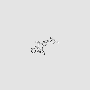 CC(C)c1nc(Nc2ccc(Cl)cc2Cl)ccc1C(=O)NCC1CCSC1